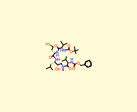 CC(C)C[C@H](NC(=O)[C@H](CCS)NC(=O)[C@@H](NC(=O)OC(C)(C)C)C(C)C)[C@@H](O)CN(C)C(=O)[C@H](NC(=O)OCc1ccccc1)C(C)C